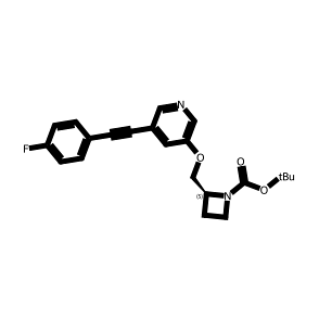 CC(C)(C)OC(=O)N1CC[C@H]1COc1cncc(C#Cc2ccc(F)cc2)c1